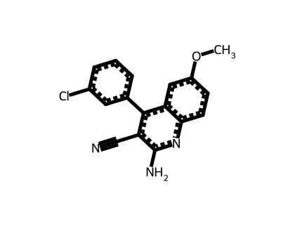 COc1ccc2nc(N)c(C#N)c(-c3cccc(Cl)c3)c2c1